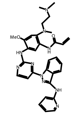 C=CC(=O)Nc1cc(Nc2nccc(-n3nc(Nc4ccccn4)c4ccccc43)n2)c(OC)cc1N(C)CCN(C)C